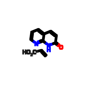 C=CC(=O)O.O=c1ccc2cccnc2[nH]1